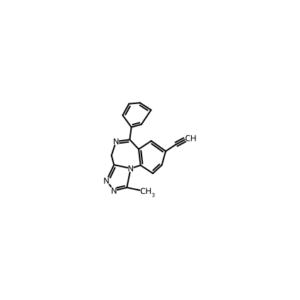 C#Cc1ccc2c(c1)C(c1ccccc1)=NCc1nnc(C)n1-2